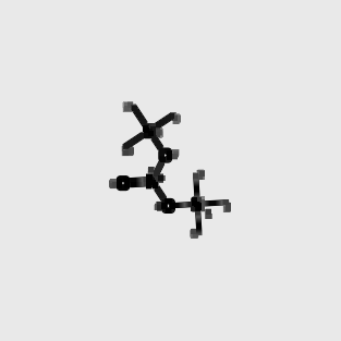 C[Si](C)(C)O[N+](=O)O[Si](C)(C)C